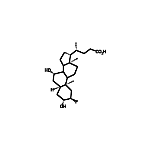 C[C@H](CCC(=O)O)[C@H]1CCC2C3C(CC[C@@]21C)[C@@]1(C)C[C@@H](F)[C@H](O)C[C@H]1C[C@@H]3O